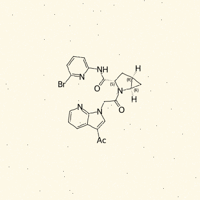 CC(=O)c1cn(CC(=O)N2[C@@H]3C[C@@H]3C[C@H]2C(=O)Nc2cccc(Br)n2)c2ncccc12